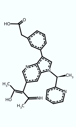 CC(=N)/C(=C(/C)O)c1cnc2c(-c3cccc(CC(=O)O)c3)cn([C@@H](C)c3ccccn3)c2c1